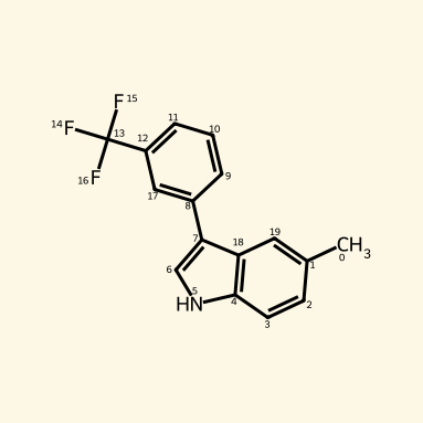 Cc1ccc2[nH]cc(-c3cccc(C(F)(F)F)c3)c2c1